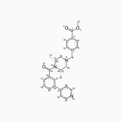 COC(=O)c1ccc(CN2C[C@@H](C)N(C(=O)c3cccc(-c4ccncc4)c3)[C@@H](C)C2)cc1